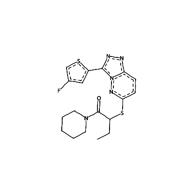 CCC(Sc1ccc2nnc(-c3cc(F)cs3)n2n1)C(=O)N1CCCCC1